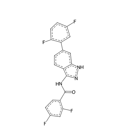 O=C(Nc1n[nH]c2cc(-c3cc(F)ccc3F)ccc12)c1ccc(F)cc1F